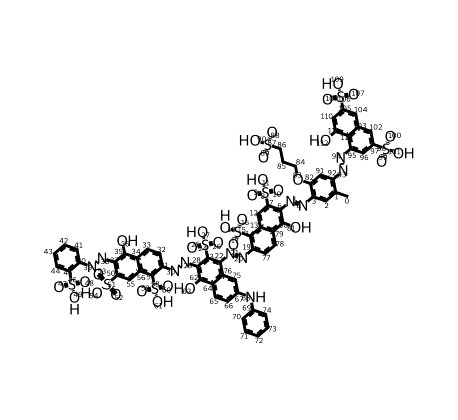 Cc1cc(N=Nc2c(S(=O)(=O)O)cc3c(S(=O)(=O)O)c(N=Nc4c(S(=O)(=O)O)c(N=Nc5ccc6c(O)c(N=Nc7ccccc7S(=O)(=O)O)c(S(=O)(=O)O)cc6c5S(=O)(=O)O)c(O)c5ccc(Nc6ccccc6)cc45)ccc3c2O)c(OCCCS(=O)(=O)O)cc1N=Nc1cc(S(=O)(=O)O)cc2cc(S(=O)(=O)O)cc(O)c12